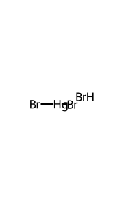 Br.[Br][Hg][Br]